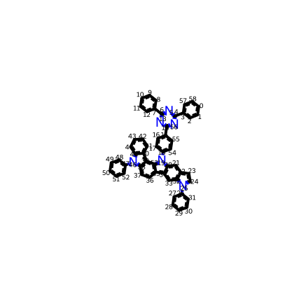 c1ccc(-c2nc(-c3ccccc3)nc(-c3ccc(-n4c5cc6ccn(-c7ccccc7)c6cc5c5ccc6c(c7ccccc7n6-c6ccccc6)c54)cc3)n2)cc1